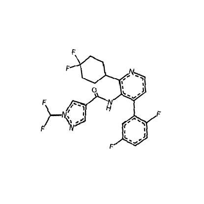 O=C(Nc1c(-c2cc(F)ccc2F)ccnc1C1CCC(F)(F)CC1)c1cnn(C(F)F)c1